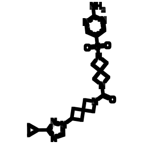 Nc1ncc(S(=O)(=O)N2CC3(CN(C(=O)N4CC5(CC(n6cnc(C7CC7)n6)C5)C4)C3)C2)cn1